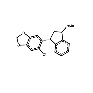 CN[C@@H]1C[C@@H](c2cc3c(cc2Cl)OCO3)c2ccccc21